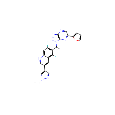 CC(c1c(F)cc2ncc(-c3cnn(C)c3)cc2c1F)n1nnc2ncc(-c3ccco3)nc21